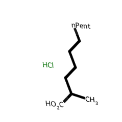 CCCCCCCCCC(C)C(=O)O.Cl